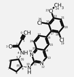 C#CC(=O)N[C@H]1CCC[C@H]1Nc1ncc2cc(-c3c(Cl)ccc(OC)c3Cl)ccc2n1